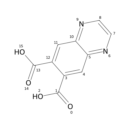 O=C(O)c1cc2nccnc2cc1C(=O)O